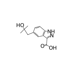 CC(C)(O)Cc1ccc2[nH]nc(C(=O)O)c2c1